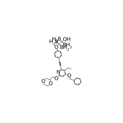 BC(B)(O)C(B)(B)Oc1ccc(C#Cc2nc(OCC3COCCO3)cc(OCc3ccccc3)c2CC)cc1